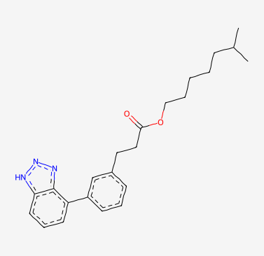 CC(C)CCCCCOC(=O)CCc1cccc(-c2cccc3[nH]nnc23)c1